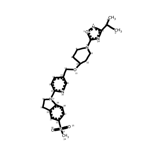 CC(C)c1noc(N2CCC(OCc3ccc(N4CCc5cc(S(C)(=O)=O)ccc54)nc3)CC2)n1